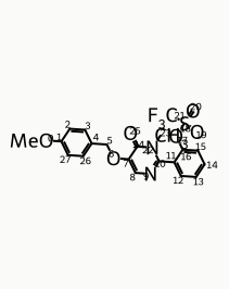 COc1ccc(COc2cnc(-c3ccccc3OS(=O)(=O)C(F)(F)F)n(C)c2=O)cc1